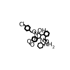 NC1CCCCC1N1C(=O)c2ccccc2C(C(O)NOCc2ccc(Cl)cc2)C1c1ccc2c(c1)OCO2